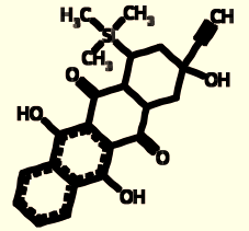 C#CC1(O)CC2C(=O)c3c(c(O)c4ccccc4c3O)C(=O)C2C([Si](C)(C)C)C1